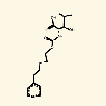 CC(C)[C@@H](O)[C@H](NC(=O)OCCCCCc1ccccc1)C(=O)O